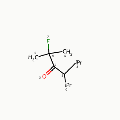 CC(C)C(C(=O)C(C)(C)F)C(C)C